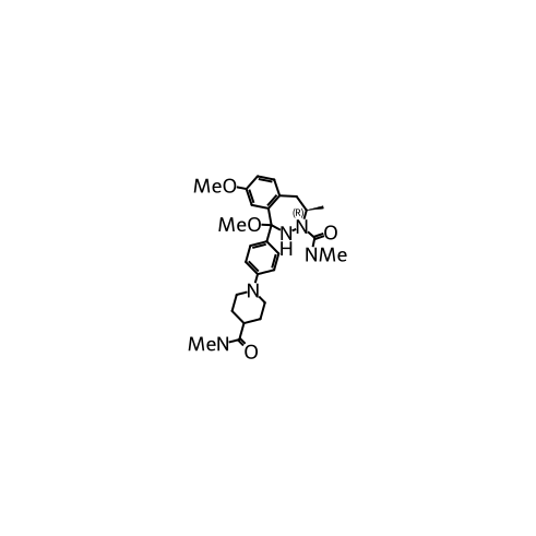 CNC(=O)C1CCN(c2ccc(C3(OC)NN(C(=O)NC)[C@H](C)Cc4ccc(OC)cc43)cc2)CC1